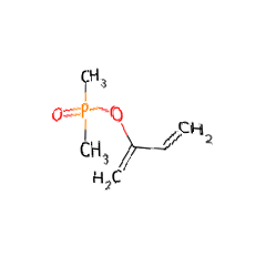 C=CC(=C)OP(C)(C)=O